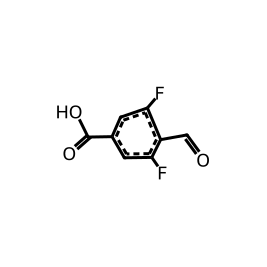 O=Cc1c(F)cc(C(=O)O)cc1F